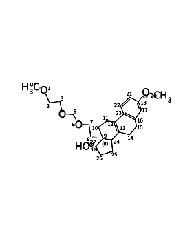 COCCOCOCC[C@]12CCC3=C(CCc4cc(OC)ccc43)C1CC[C@@H]2O